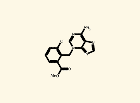 COC(=O)c1cccc(Cl)c1Cn1cnc(N)c2ncnc1-2